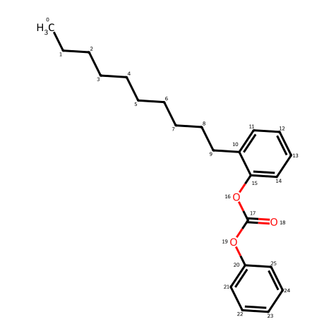 CCCCCCCCCCc1ccccc1OC(=O)Oc1ccccc1